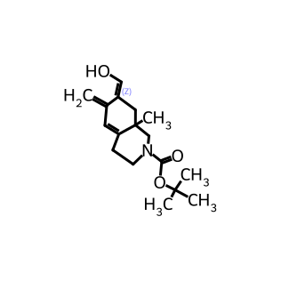 C=C1C=C2CCN(C(=O)OC(C)(C)C)CC2(C)C/C1=C/O